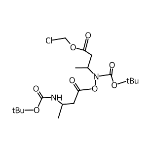 CC(CC(=O)ON(C(=O)OC(C)(C)C)C(C)CC(=O)OCCl)NC(=O)OC(C)(C)C